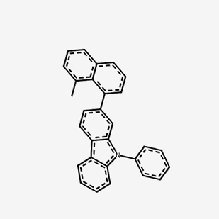 Cc1cccc2cccc(-c3ccc4c5ccccc5n(-c5ccccc5)c4c3)c12